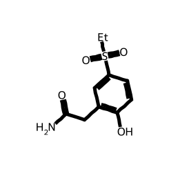 CCS(=O)(=O)c1ccc(O)c(CC(N)=O)c1